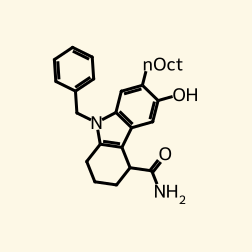 CCCCCCCCc1cc2c(cc1O)c1c(n2Cc2ccccc2)CCCC1C(N)=O